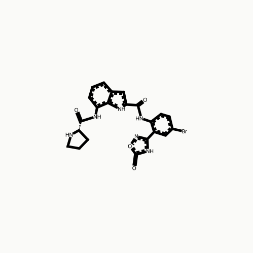 O=C(Nc1ccc(Br)cc1-c1noc(=O)[nH]1)c1cc2cccc(NC(=O)[C@@H]3CCCN3)c2[nH]1